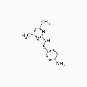 Cc1cc(C)nc(NSc2ccc(N)cc2)n1